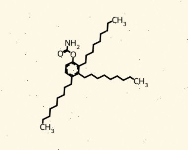 CCCCCCCCCc1ccc(OC(N)=O)c(CCCCCCCCC)c1CCCCCCCCC